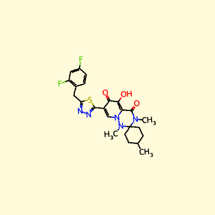 CC1CCC2(CC1)N(C)C(=O)c1c(O)c(=O)c(-c3nnc(Cc4ccc(F)cc4F)s3)cn1N2C